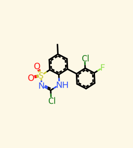 Cc1cc(-c2cccc(F)c2Cl)c2c(c1)S(=O)(=O)N=C(Cl)N2